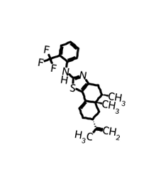 C=C(C)[C@@H]1CC=C2c3sc(Nc4ccccc4C(F)(F)F)nc3C[C@@H](C)[C@]2(C)C1